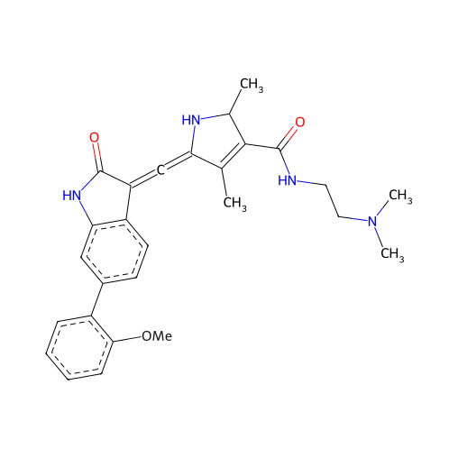 COc1ccccc1-c1ccc2c(c1)NC(=O)C2=C=C1NC(C)C(C(=O)NCCN(C)C)=C1C